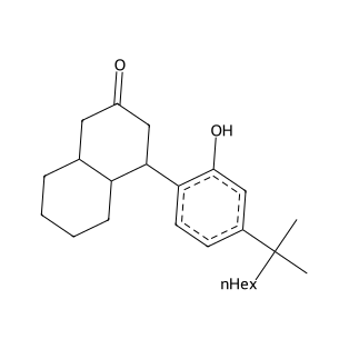 CCCCCCC(C)(C)c1ccc(C2CC(=O)CC3CCCCC32)c(O)c1